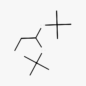 CCC(OC(C)(C)C)OC(C)(C)C